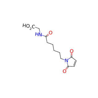 O=C(O)CNC(=O)CCCCCN1C(=O)C=CC1=O